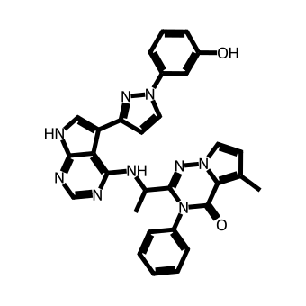 Cc1ccn2nc(C(C)Nc3ncnc4[nH]cc(-c5ccn(-c6cccc(O)c6)n5)c34)n(-c3ccccc3)c(=O)c12